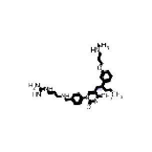 CCC/C(=C\c1cn(-c2ccc(CNCCCNC(=N)N)cc2)c(=O)nc1C)c1cccc(OCCCNC)c1